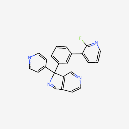 Fc1ncccc1-c1cccc(C2(c3ccncc3)N=Cc3ccncc32)c1